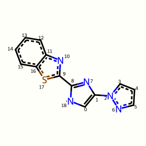 C1=C(n2cccn2)N=C(c2nc3ccccc3s2)[N]1